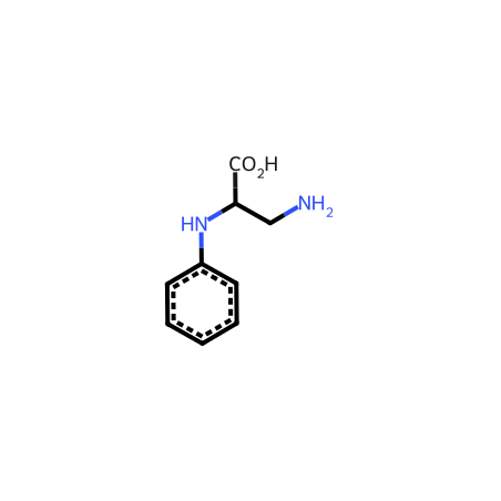 NCC(Nc1ccccc1)C(=O)O